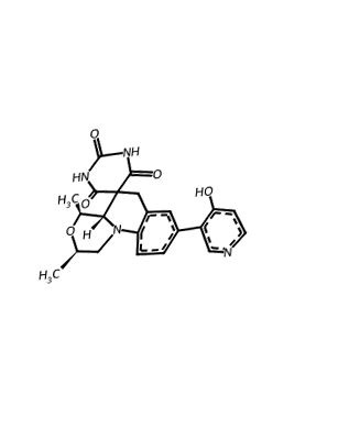 C[C@@H]1CN2c3ccc(-c4cnccc4O)cc3CC3(C(=O)NC(=O)NC3=O)[C@H]2[C@H](C)O1